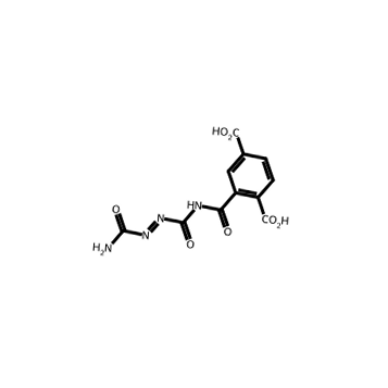 NC(=O)N=NC(=O)NC(=O)c1cc(C(=O)O)ccc1C(=O)O